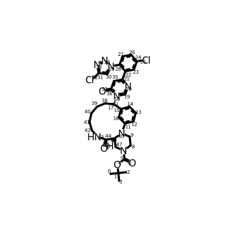 CC(C)(C)OC(=O)N1CCN2c3cccc(c3)[C@@H](n3cnc(-c4cc(Cl)ccc4-n4cc(Cl)nn4)cc3=O)CCCCCNC(=O)[C@H]2C1